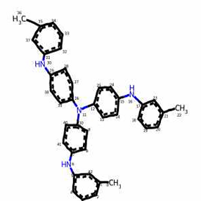 Cc1cccc(Nc2ccc(N(c3ccc(Nc4cccc(C)c4)cc3)c3ccc(Nc4cccc(C)c4)cc3)cc2)c1